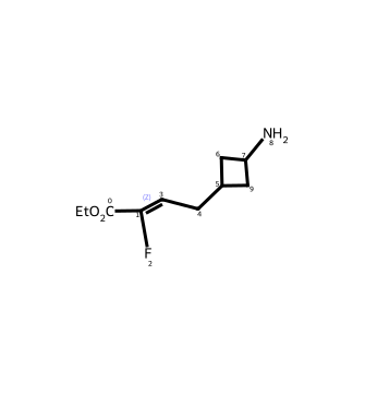 CCOC(=O)/C(F)=C/CC1CC(N)C1